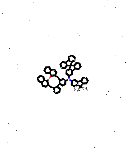 CC1(C)c2ccccc2-c2cc(N(c3ccc4c(c3)Cc3ccc5ccccc5c3Oc3c(ccc5ccccc35)Cc3ccccc3-4)c3ccc4c(c3)-c3ccccc3C43c4ccccc4-c4ccccc43)ccc21